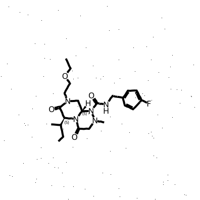 CCOCCN1C[C@H]2N(C(=O)CN(C)N2C(=O)NCc2ccc(F)cc2)[C@@H](C(C)CC)C1=O